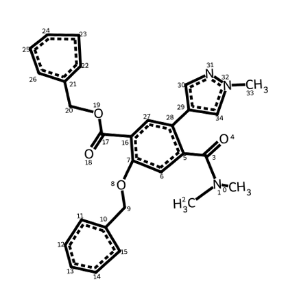 CN(C)C(=O)c1cc(OCc2ccccc2)c(C(=O)OCc2ccccc2)cc1-c1cnn(C)c1